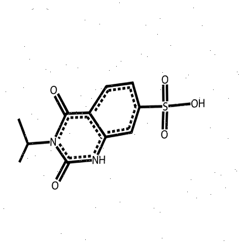 CC(C)n1c(=O)[nH]c2cc(S(=O)(=O)O)ccc2c1=O